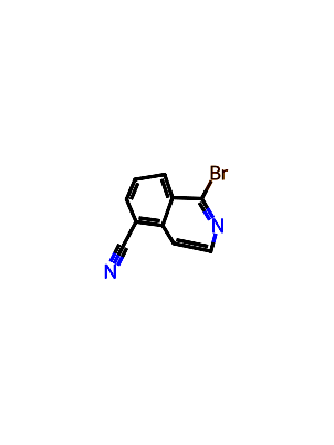 N#Cc1cccc2c(Br)nccc12